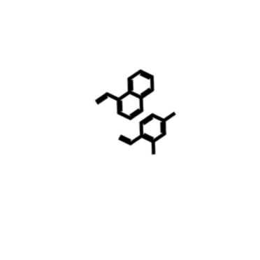 C=Cc1ccc(C)cc1C.C=Cc1cccc2ccccc12